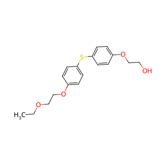 CCOCCOc1ccc(Sc2ccc(OCCO)cc2)cc1